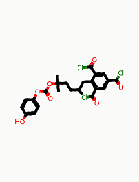 CC(CCC(C)(C)OC(=O)Oc1ccc(O)cc1)Cc1c(C(=O)Cl)cc(C(=O)Cl)cc1C(=O)Cl